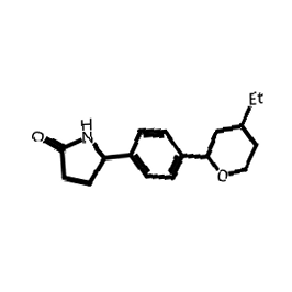 [CH2]CC1CCOC(c2ccc(C3CCC(=O)N3)cc2)C1